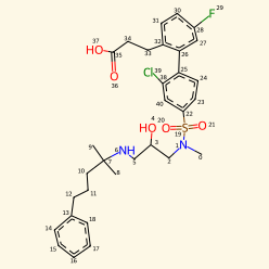 CN(CC(O)CNC(C)(C)CCCc1ccccc1)S(=O)(=O)c1ccc(-c2cc(F)ccc2CCC(=O)O)c(Cl)c1